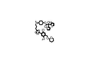 COc1cc(-c2noc(CCCN(C)C3CCC(OC(=O)C(O)(c4cccs4)c4cccs4)CC3)n2)c(Cl)cc1COC1CCCCO1